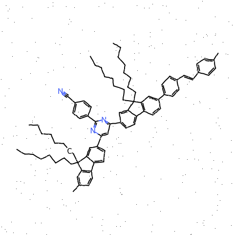 CCCCCCCCC1(CCCCCCCC)c2cc(C)ccc2-c2ccc(-c3cc(-c4ccc5c(c4)C(CCCCCCCC)(CCCCCCCC)c4cc(-c6ccc(/C=C/c7ccc(C)cc7)cc6)ccc4-5)nc(-c4ccc(C#N)cc4)n3)cc21